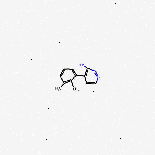 Cc1cccc(-c2ccnnc2N)c1C